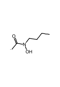 [CH2]C(=O)N(O)CCCC